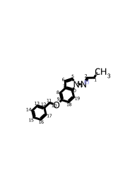 CC/C=N/n1ccc2cc(OCc3ccccc3)ccc21